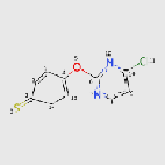 S=C1C=CC(Oc2nccc(Cl)n2)=CC1